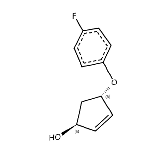 O[C@@H]1C=C[C@@H](Oc2ccc(F)cc2)C1